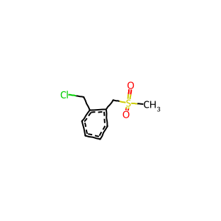 CS(=O)(=O)Cc1ccccc1CCl